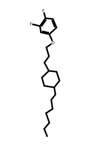 CCCCCCCC1CCC(CCCOc2ccc(F)c(F)c2)CC1